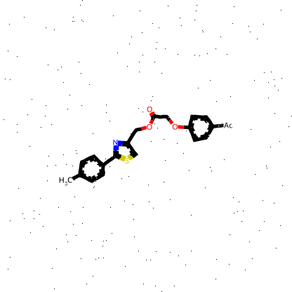 CC(=O)c1ccc(OCC(=O)OCc2csc(-c3ccc(C)cc3)n2)cc1